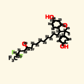 CC1(c2ccc(O)cc2)COc2cc(O)ccc2C1CCCCCCCCCC(=O)CCC(F)(F)C(F)(F)F